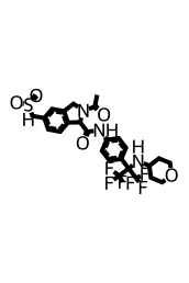 CC(=O)N1Cc2cc(C[SH](=O)=O)ccc2C1C(=O)Nc1ccc(C(NC2CCOCC2)(C(F)(F)F)C(F)(F)F)cc1